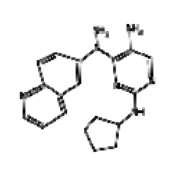 Nc1cnc(NC2CCCC2)nc1N(N)c1ccc2ncccc2c1